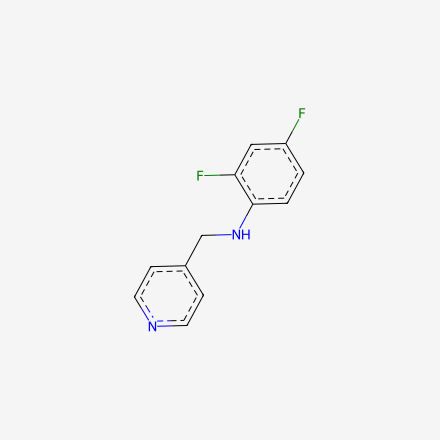 Fc1ccc(NCc2ccncc2)c(F)c1